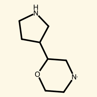 C1COC(C2CCNC2)C[N]1